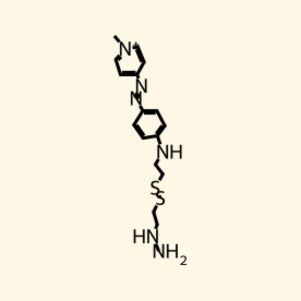 C[n+]1ccc(N=Nc2ccc(NCCSSCCNN)cc2)cc1